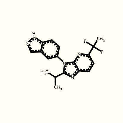 CC(C)c1nc2ccc(C(C)(F)F)nc2n1-c1ccc2[nH]ncc2c1